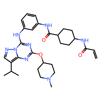 C=CC(=O)NC1CCC(C(=O)Nc2cccc(Nc3nc(OC4CCN(C)CC4)nc4c(C(C)C)cnn34)c2)CC1